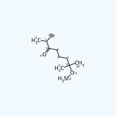 CC(Br)C(=O)CCCC(C)(C)O[SiH3]